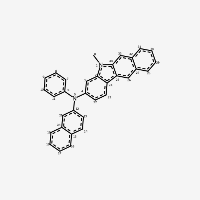 Cn1c2cc(N(c3ccccc3)c3ccc4ccccc4c3)ccc2c2cc3ccccc3cc21